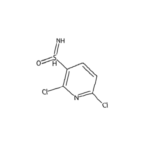 N=[SH](=O)c1ccc(Cl)nc1Cl